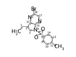 C=Cc1cn(S(=O)(=O)c2ccc(C)cc2)c2ncc(Br)nc12